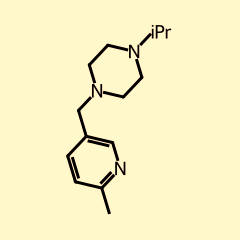 Cc1ccc(CN2CCN(C(C)C)CC2)cn1